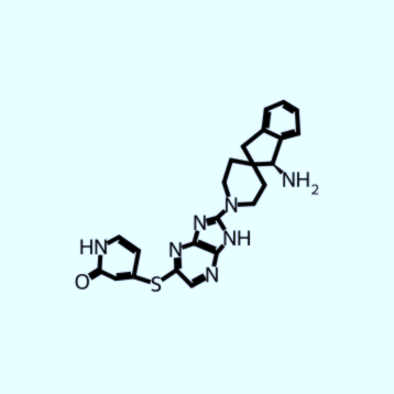 N[C@@H]1c2ccccc2CC12CCN(c1nc3nc(Sc4cc[nH]c(=O)c4)cnc3[nH]1)CC2